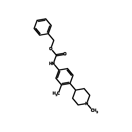 Cc1cc(NC(=O)OCc2ccccc2)ccc1C1CCN(C)CC1